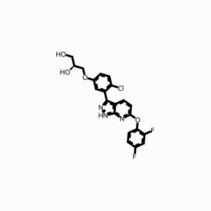 OC[C@H](O)COc1ccc(Cl)c(-c2n[nH]c3nc(Oc4ccc(F)cc4F)ccc23)c1